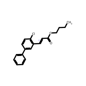 CCCCOC(=O)/C=C/c1cc(-c2ccccc2)ccc1Cl